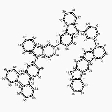 c1cc(-c2cccc3c2sc2cc4sc5ccccc5c4cc23)cc(-n2c3ccccc3c3cc(-c4ccc5c(c4)c4ccccc4n5-c4ccc5c6ccccc6c6ccccc6c5c4)ccc32)c1